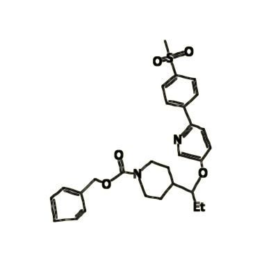 CCC(Oc1ccc(-c2ccc(S(C)(=O)=O)cc2)nc1)C1CCN(C(=O)OCc2ccccc2)CC1